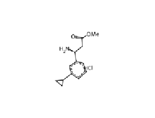 COC(=O)C[C@H](N)c1cccc(C2CC2)c1.Cl